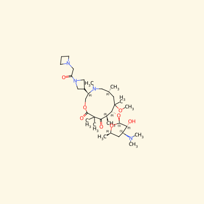 COC1(C)C[C@@H](C)CN(C)[C@H](C2CN(C(=O)CN3CCC3)C2)COC(=O)C(C)(C)C(=O)[C@H](C)[C@H]1O[C@@H]1O[C@H](C)C[C@H](N(C)C)[C@H]1O